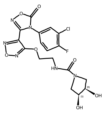 O=C(NCCOc1nonc1-c1noc(=O)n1-c1ccc(F)c(Cl)c1)N1C[C@@H](O)[C@@H](O)C1